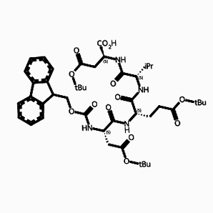 CC(C)[C@H](NC(=O)[C@H](CCC(=O)OC(C)(C)C)NC(=O)[C@H](CC(=O)OC(C)(C)C)NC(=O)OCC1c2ccccc2-c2ccccc21)C(=O)N[C@@H](CC(=O)OC(C)(C)C)C(=O)O